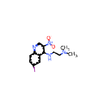 CN(C)CCNc1c([N+](=O)[O-])cnc2ccc(I)cc12